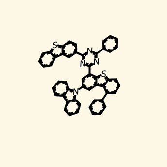 c1ccc(-c2nc(-c3ccc4sc5ccccc5c4c3)nc(-c3cc(-n4c5ccccc5c5ccccc54)cc4c3sc3cccc(-c5ccccc5)c34)n2)cc1